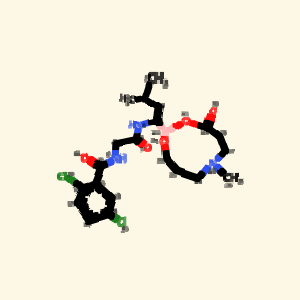 CC(C)CC(NC(=O)CNC(=O)c1cc(Cl)ccc1Cl)B1OCCCN(C)CCC(=O)O1